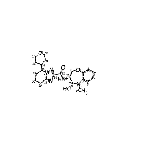 CN1c2ccccc2OC[C@H](NC(=O)c2nc3n(n2)[C@H](C2CCOCC2)CCC3)C1O